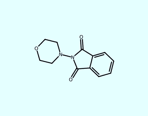 O=C1c2ccccc2C(=O)N1N1CCOCC1